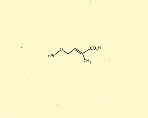 CCCOCC=C(C)C(=O)O